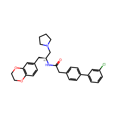 O=C(Cc1ccc(-c2cccc(Cl)c2)cc1)N[C@@H](Cc1ccc2c(c1)OCCO2)CN1CCCC1